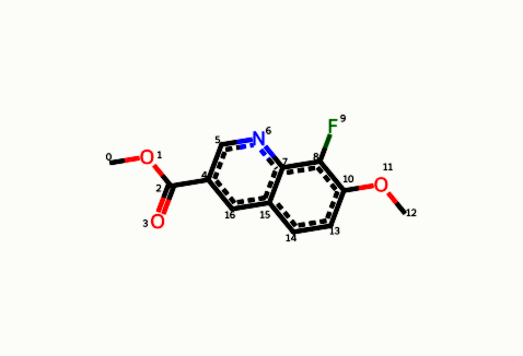 COC(=O)c1cnc2c(F)c(OC)ccc2c1